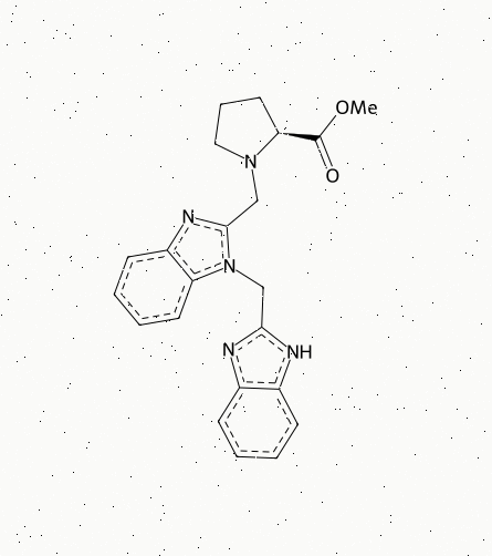 COC(=O)[C@@H]1CCCN1Cc1nc2ccccc2n1Cc1nc2ccccc2[nH]1